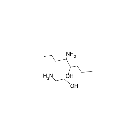 CCCC(N)C(O)CCC.NCCO